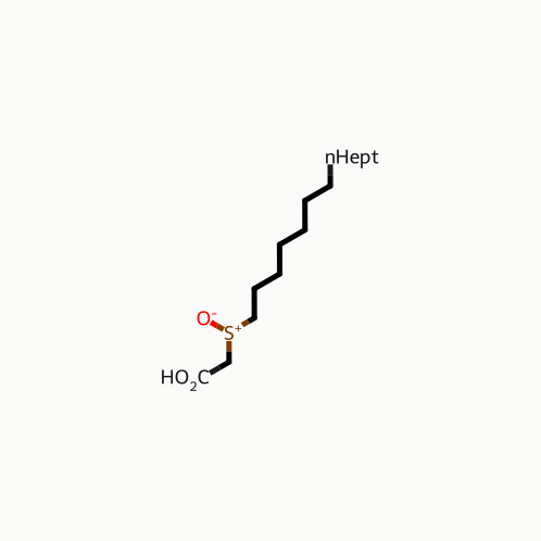 CCCCCCCCCCCCCC[S+]([O-])CC(=O)O